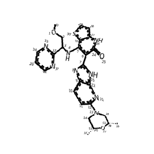 COCC(Nc1c(-c2nc3ccc(N4C[C@@H](C)O[C@@H](C)C4)nc3[nH]2)c(=O)[nH]c2ccsc12)c1ncccn1